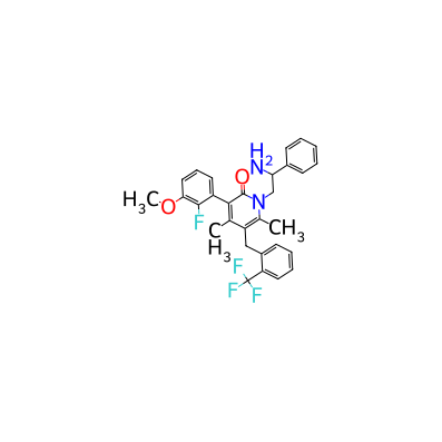 COc1cccc(-c2c(C)c(Cc3ccccc3C(F)(F)F)c(C)n(CC(N)c3ccccc3)c2=O)c1F